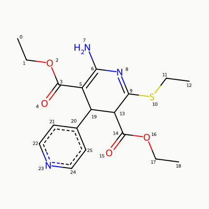 CCOC(=O)C1=C(N)N=C(SCC)C(C(=O)OCC)C1c1ccncc1